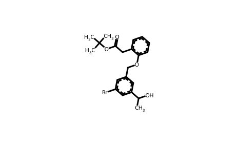 CC(O)c1cc(Br)cc(COc2ccccc2CC(=O)OC(C)(C)C)c1